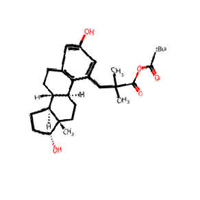 CC(C)(C)C(=O)OC(=O)C(C)(C)Cc1cc(O)cc2c1[C@H]1CC[C@]3(C)[C@H](O)CC[C@H]3[C@@H]1CC2